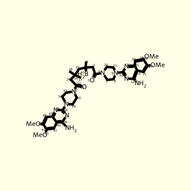 BC(C)(CC(=O)N1CCN(c2nc(N)c3cc(OC)c(OC)cc3n2)CC1)CC(C)(C)CC(=O)N1CCN(c2nc(N)c3cc(OC)c(OC)cc3n2)CC1